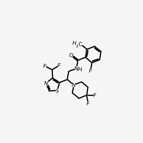 Cc1cccc(F)c1C(=O)NCC(c1scnc1C(F)F)N1CCC(F)(F)CC1